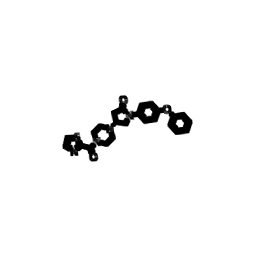 O=C(c1nccs1)N1CCN([C@H]2CC(=O)N(c3ccc(Oc4ccccc4)cc3)C2)CC1